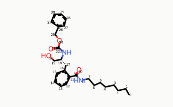 CCCCCCCCNC(=O)c1ccccc1C[C@H](CO)NC(=O)OCc1ccccc1